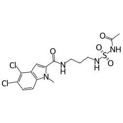 CC(=O)NS(=O)(=O)NCCCNC(=O)c1cc2c(Cl)c(Cl)ccc2n1C